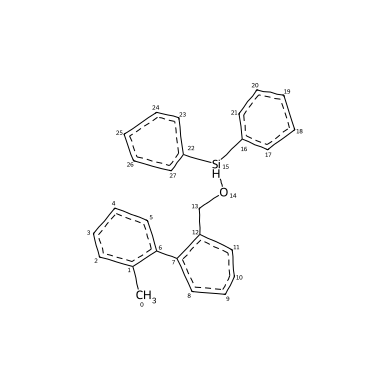 Cc1ccccc1-c1ccccc1CO[SiH](c1ccccc1)c1ccccc1